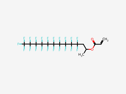 C=CC(=O)OC(C)CC(F)(F)C(F)(F)C(F)(F)C(F)(F)C(F)(F)C(F)(F)C(F)(F)C(F)(F)C(F)(F)C(F)(F)F